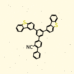 N#Cc1cc(-c2cc(-c3ccc4sc5ccccc5c4c3)cc(-c3ccc4sc5ccccc5c4c3)c2)ccc1-c1ccccc1